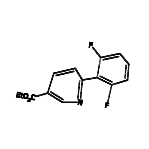 CCOC(=O)c1ccc(-c2c(F)cccc2F)nc1